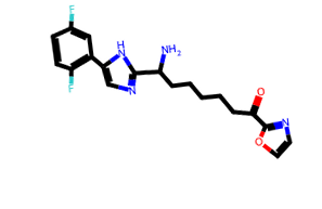 NC(CCCCCC(=O)c1ncco1)c1ncc(-c2cc(F)ccc2F)[nH]1